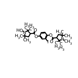 CN1C(C)(C)CC(C(=O)Oc2ccc(OC(=O)C3CC(C)(C)N(O)C3(C)C)cc2I)C1(C)C